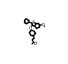 COc1ccc2c(Oc3ccc(/C=C/C(C)=O)cc3)c(-c3ccccc3)sc2c1